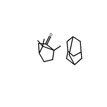 C1C2CC3CC1CC(C2)C3.CC12CCC(CC1=O)C2(C)C